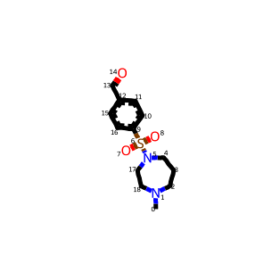 CN1CCCN(S(=O)(=O)c2ccc(C=O)cc2)CC1